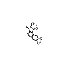 CN1C(=O)c2ncc3cc4c(cc3c2C1=O)OCO4